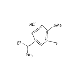 CCC(N)c1ccc(OC)c(F)c1.Cl